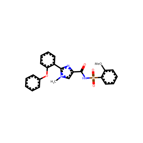 COc1ccccc1S(=O)(=O)NC(=O)c1cn(C)c(-c2ccccc2Oc2ccccc2)n1